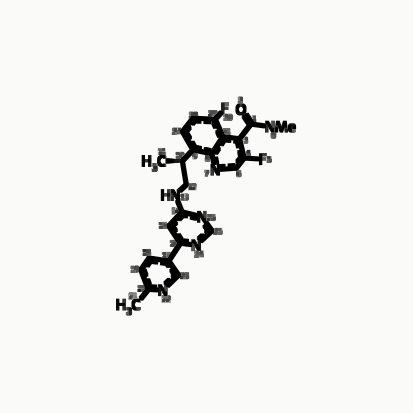 CNC(=O)c1c(F)cnc2c([C@H](C)CNc3cc(-c4ccc(C)nc4)ncn3)ccc(F)c12